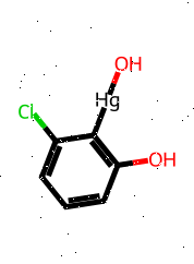 [OH][Hg][c]1c(O)cccc1Cl